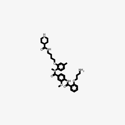 COc1cc(C(=O)N(C)c2ccc(C)cc2OCCCCNC(=O)C2CCNCC2)ccc1NC(=O)c1ccccc1OCCCN